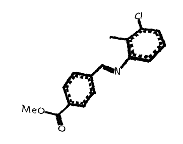 COC(=O)c1ccc(C=Nc2cccc(Cl)c2C)cc1